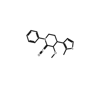 COC1C(=C=O)N(c2ccccc2)CCC1c1ccsc1C